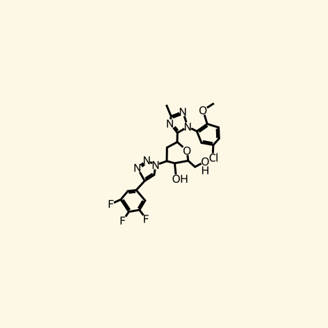 COc1ccc(Cl)cc1-n1nc(C)nc1C1CC(n2cc(-c3cc(F)c(F)c(F)c3)nn2)C(O)C(CO)O1